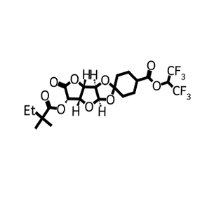 CCC(C)(C)C(=O)O[C@@H]1C(=O)O[C@@H]2[C@H]3OC4(CCC(C(=O)OC(C(F)(F)F)C(F)(F)F)CC4)O[C@H]3O[C@@H]21